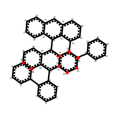 c1ccc(-c2ccccc2-c2c3ccccc3c(-c3c4ccccc4cc4cccc(-c5ccccc5-c5ccccc5)c34)c3ccccc23)cc1